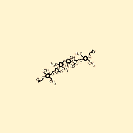 CCc1cc(OCC2CN(c3c(C)cc(Cc4cc(C)c(N5CC(COc6cc(CC)c(OCC7CO7)cc6CC)OC5=O)c(C)c4)cc3C)C(=O)O2)c(CC)cc1OCC1CO1